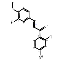 COc1ccc(/C=C/C(=O)c2ccc(O)cc2O)cc1Br